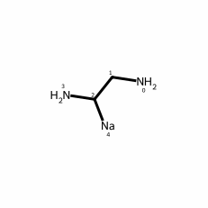 NC[CH](N)[Na]